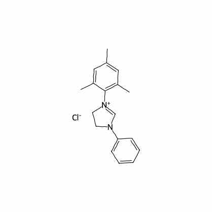 Cc1cc(C)c([N+]2=CN(c3ccccc3)CC2)c(C)c1.[Cl-]